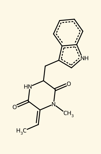 C/C=C1\C(=O)NC(Cc2c[nH]c3ccccc23)C(=O)N1C